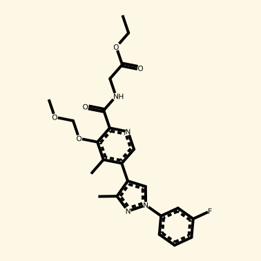 CCOC(=O)CNC(=O)c1ncc(-c2cn(-c3cccc(F)c3)nc2C)c(C)c1OCOC